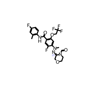 Cc1cc(F)ccc1NC(=O)c1cc(F)c(N(C)/N=C2/COCCN2C=O)cc1OCC(F)(F)F